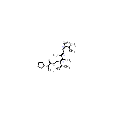 C=C(C)\C(=C/C=C(C)/C(C)=C(\COC(=O)N(C)C1CCCC1)C(C)=N)OC